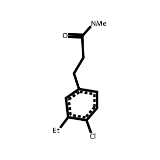 CCc1cc(CCC(=O)NC)ccc1Cl